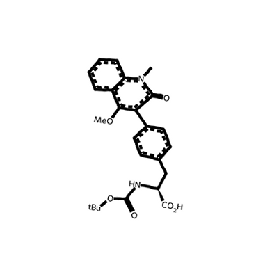 COc1c(-c2ccc(C[C@H](NC(=O)OC(C)(C)C)C(=O)O)cc2)c(=O)n(C)c2ccccc12